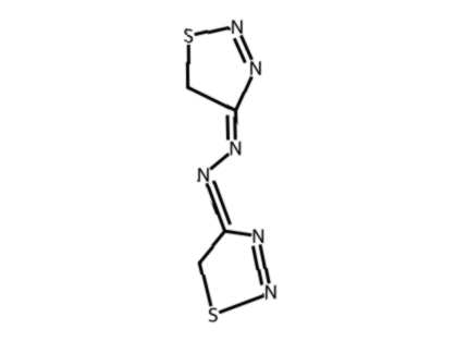 C1SN=NC1=NN=C1CSN=N1